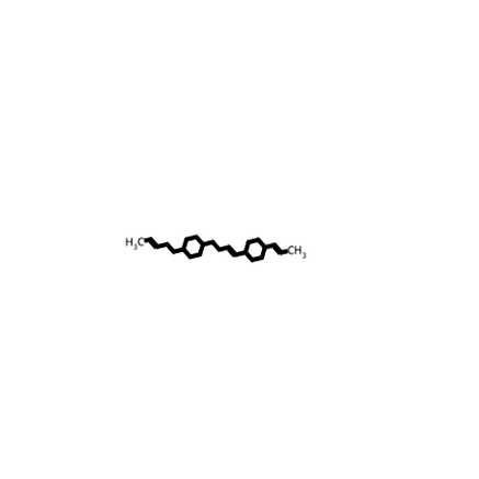 CC=CCCC1CCC(CCC=CC2CCC(C=CC)CC2)CC1